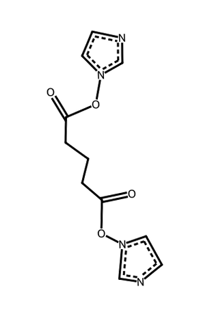 O=C(CCCC(=O)On1ccnc1)On1ccnc1